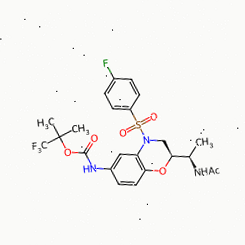 CC(=O)N[C@H](C)[C@@H]1CN(S(=O)(=O)c2ccc(F)cc2)c2cc(NC(=O)OC(C)(C)C(F)(F)F)ccc2O1